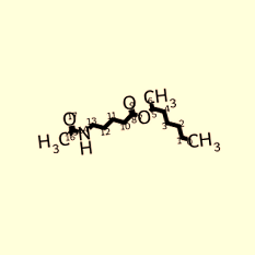 CCCCCC(C)OC(=O)CCCCNC(C)=O